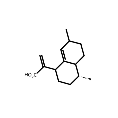 C=C(C(=O)O)C1CC[C@@H](C)C2CCC(C)C=C12